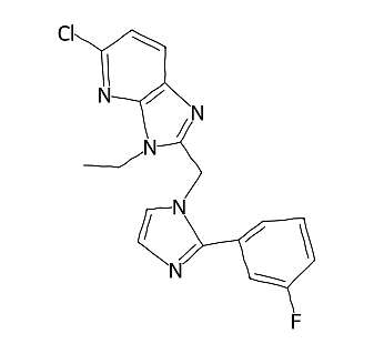 CCn1c(Cn2ccnc2-c2cccc(F)c2)nc2ccc(Cl)nc21